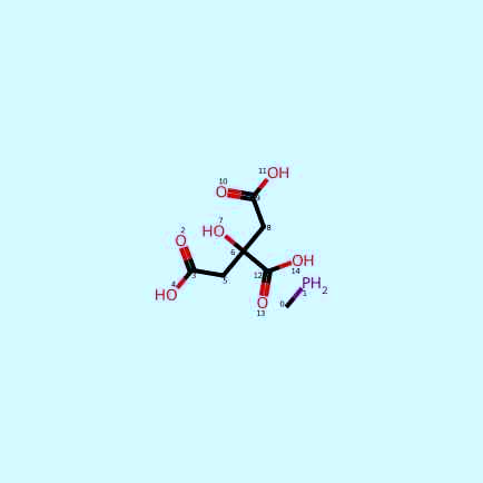 CP.O=C(O)CC(O)(CC(=O)O)C(=O)O